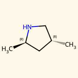 C[C@H]1CN[C@H](C)C1